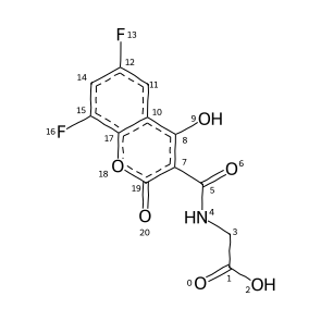 O=C(O)CNC(=O)c1c(O)c2cc(F)cc(F)c2oc1=O